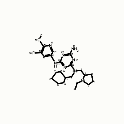 CCN1CCCC1CN(CC1CCCCC1)c1nc(N)nc(Nc2cnc(OC)c(F)c2)n1